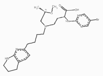 CO[C@H](C)CN(CCCCc1ccc2c(n1)NCCC2)CCC(Nc1ncc(Br)cn1)C(=O)O